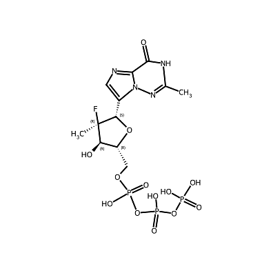 Cc1nn2c([C@@H]3O[C@H](COP(=O)(O)OP(=O)(O)OP(=O)(O)O)[C@@H](O)[C@@]3(C)F)cnc2c(=O)[nH]1